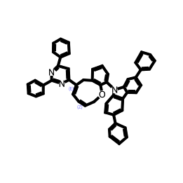 C1=C\COc2c(cccc2-n2c3ccc(-c4ccccc4)cc3c3ccc(-c4ccccc4)cc32)C\C(c2cc(-c3ccccc3)nc(-c3ccccc3)n2)=C/1